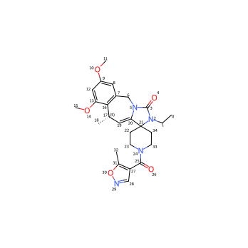 CCN1C(=O)N2Cc3cc(OC)cc(OC)c3[C@@H](C)C=C2C12CCN(C(=O)c1cnoc1C)CC2